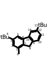 Cc1cc(C(C)(C)C)cc2c1[CH]c1ccc(C(C)(C)C)cc1-2